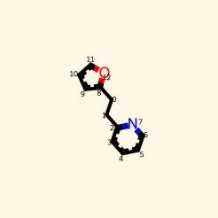 [CH](Cc1ccccn1)c1ccco1